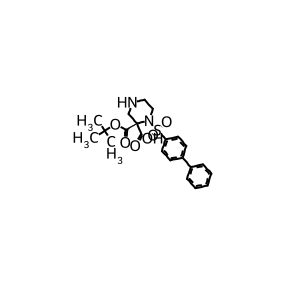 CC(C)(C)OC(=O)[C@@]1(C(=O)O)CNCCN1S(=O)(=O)c1ccc(-c2ccccc2)cc1